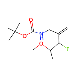 C=C(CNC(=O)OC(C)(C)C)C(F)C(C)OC